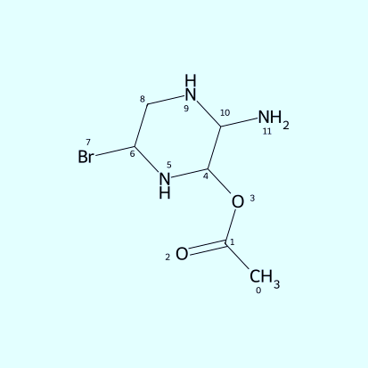 CC(=O)OC1NC(Br)CNC1N